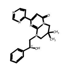 CC1(C)CN(C[C@@H](O)c2ccccc2)c2nc(-c3ccncn3)cc(=O)n2C1